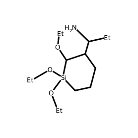 CCOC1C(C(N)CC)CCC[Si]1(OCC)OCC